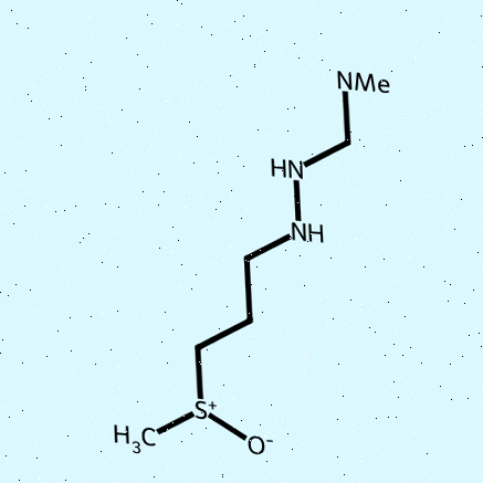 CNCNNCCC[S+](C)[O-]